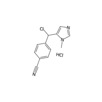 Cl.Cn1cncc1C(Cl)c1ccc(C#N)cc1